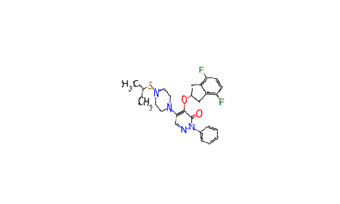 CC(C)SN1CCN(c2cnn(-c3ccccc3)c(=O)c2OC2Cc3c(F)ccc(F)c3C2)CC1